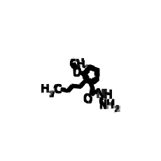 CCCCc1c(OC)cccc1C(=O)NN